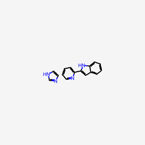 c1c[nH]cn1.c1ccc(-c2cc3ccccc3[nH]2)nc1